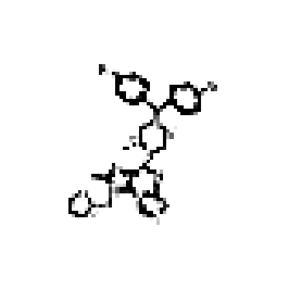 Cc1nc2c(N3C[C@@H](C)N(C(c4ccc(Br)cc4)c4ccc(Br)cc4)C[C@@H]3C)nc3nncn3c2n1C[C@@H]1CCCO1